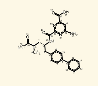 C[C@H](C[C@@H](Cc1ccc(-c2ccccc2)cc1)NC(=O)c1nc(N)cc(C(=O)O)n1)C(=O)O